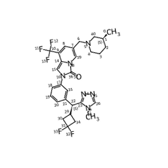 C[C@H]1CCCN(Cc2cc(C(F)(F)F)c3cn(-c4cccc([C@@H](c5nncn5C)C5CC(F)(F)C5)c4)c(=O)n3c2)C1